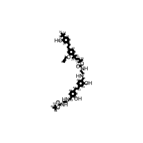 C#CCOc1cc(CCc2ccc(C(C)(C)C)c(O)c2)ccc1C(C)(C)CCC(C)(C)OC(=O)NCCNCc1ccc(CCc2ccc(CNCCNC(=O)OC(C)(C)C)c(O)c2)cc1O